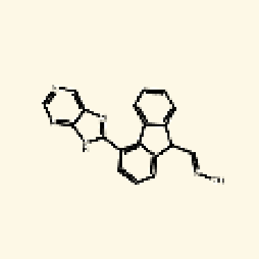 ON=CC1c2ccccc2-c2c(-c3nc4cncnc4[nH]3)cccc21